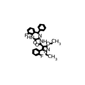 CCOc1nn(CC)c(-c2ccccc2F)c1C(=O)N[C@H]1N=C(c2ccccc2)c2cccc(F)c2NC1=O